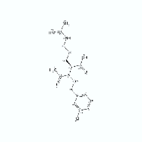 CC(=O)N(OCc1cccc(Cl)c1)[C@@H](CCCNC(=N)N)C(=O)O